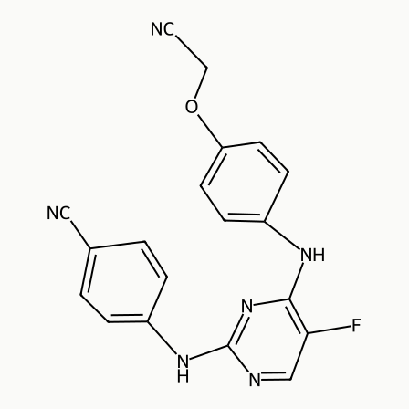 N#CCOc1ccc(Nc2nc(Nc3ccc(C#N)cc3)ncc2F)cc1